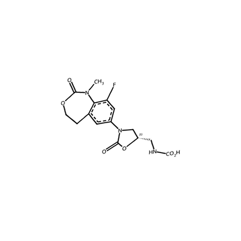 CN1C(=O)OCCc2cc(N3C[C@H](CNC(=O)O)OC3=O)cc(F)c21